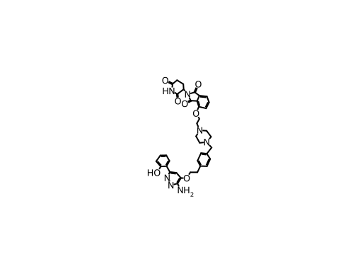 Nc1nnc(-c2ccccc2O)cc1OCCc1ccc(CN2CCN(CCOc3cccc4c3C(=O)N(C3CCC(=O)NC3=O)C4=O)CC2)cc1